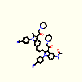 CC(=O)N(C)c1ccc2c(c1)c(C(=O)CN1CCCCC1)c(C/C=C\c1ccc3c(C(=O)CN4CCCCC4)c(C)n(-c4ccc(C#N)cc4)c3c1)n2-c1ccc(C#N)cc1